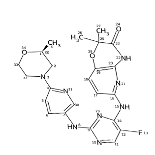 C[C@H]1CN(c2ccc(Nc3ncc(F)c(Nc4ccc5c(n4)NC(=O)C(C)(C)O5)n3)cn2)CCO1